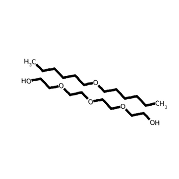 CCCCCCOCCCCCC.OCCOCCOCCOCCO